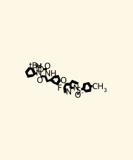 Cc1ccc([S+]([O-])n2ccc3c(Oc4ccc(CC(NC(=O)OC(C)(C)C)C(=O)Nc5ccccc5)cc4F)ccnc32)cc1